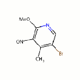 COc1ncc(Br)c(C)c1N=O